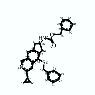 O=C(N[C@@H]1Cc2cc3cnc(C4CC4)cc3c(SCc3ccccc3)c2C1)OCc1ccccc1